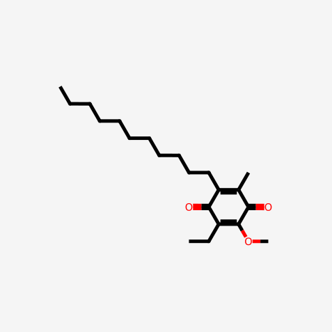 CCCCCCCCCCCC1=C(C)C(=O)C(OC)=C(CC)C1=O